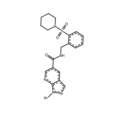 CC(C)n1ncc2cc(C(=O)NCc3ccccc3S(=O)(=O)N3CCCCC3)cnc21